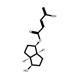 C=C(O)C=CC(=O)O[C@@H]1CC[C@H]2[C@@H]1CC[C@H]2O